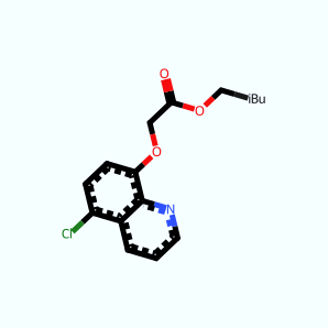 CCC(C)COC(=O)COc1ccc(Cl)c2cccnc12